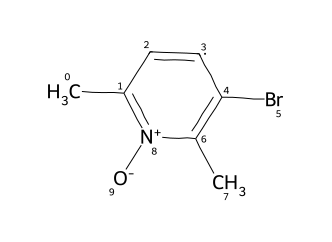 Cc1c[c]c(Br)c(C)[n+]1[O-]